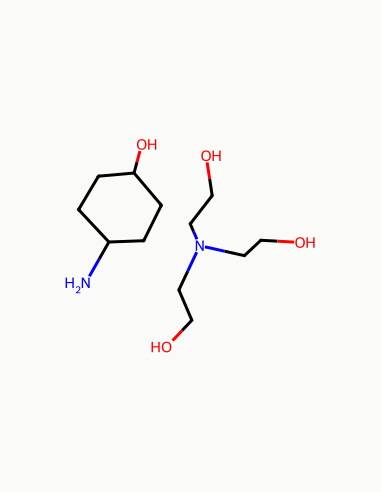 NC1CCC(O)CC1.OCCN(CCO)CCO